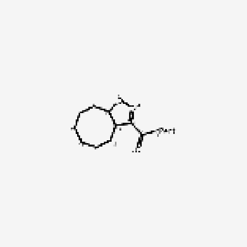 CCCCCC(=O)C1=NOC2CCCCCCC12